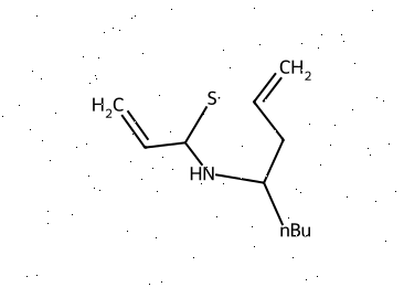 C=CCC(CCCC)NC([S])C=C